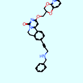 O=c1nc(OCC2COc3ncccc3O2)cc2n1CCc1cc(C#CCNCc3ccccc3)ccc1-2